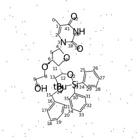 Cc1cn([C@H]2C[C@H](OCCO)[C@@H](C(COCc3ccccc3)O[Si](c3ccccc3)(c3ccccc3)C(C)(C)C)O2)c(=O)[nH]c1=O